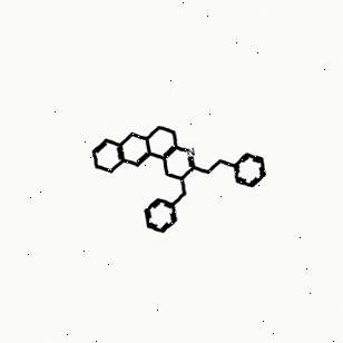 C1=CC2=C(C=C3C4=C(CCC3C2)N=C(CCc2ccccc2)C(Cc2ccccc2)C4)CC1